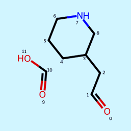 O=CCC1CCCNC1.O=CO